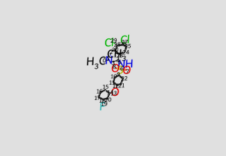 CN(C)CC(NS(=O)(=O)c1ccc(Oc2cccc(F)c2)cc1)c1ccc(Cl)c(Cl)c1